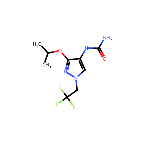 CC(C)Oc1nn(CC(F)(F)F)cc1NC(N)=O